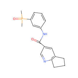 CP(C)(=O)c1cccc(NC(=O)c2cnc3c(c2)CCC3)c1